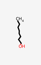 C.CCCCCCCCO